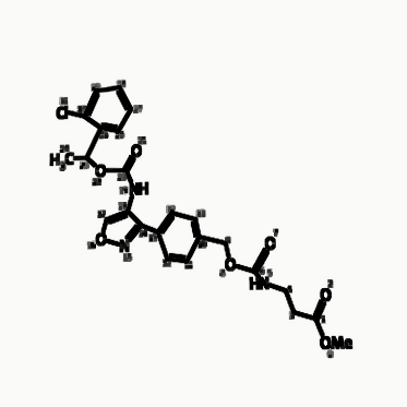 COC(=O)CCNC(=O)OCc1ccc(-c2nocc2NC(=O)OC(C)c2ccccc2Cl)cc1